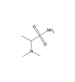 [CH2]C(N(C)C)S(N)(=O)=O